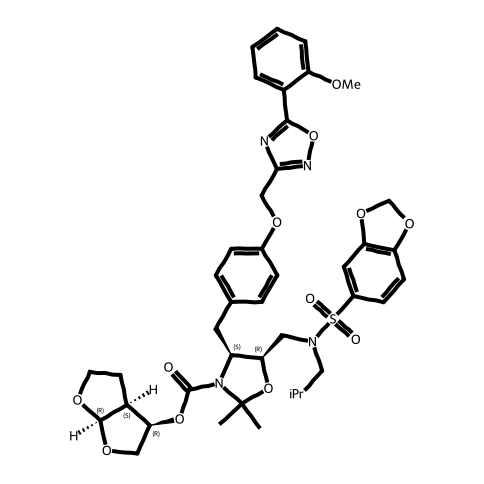 COc1ccccc1-c1nc(COc2ccc(C[C@H]3[C@@H](CN(CC(C)C)S(=O)(=O)c4ccc5c(c4)OCO5)OC(C)(C)N3C(=O)O[C@H]3CO[C@H]4OCC[C@H]43)cc2)no1